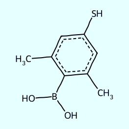 Cc1cc(S)cc(C)c1B(O)O